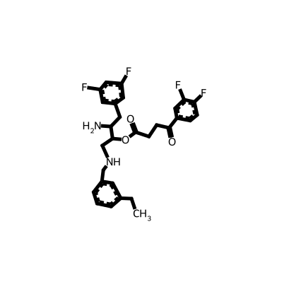 CCc1cccc(CNCC(OC(=O)CCC(=O)c2ccc(F)c(F)c2)C(N)Cc2cc(F)cc(F)c2)c1